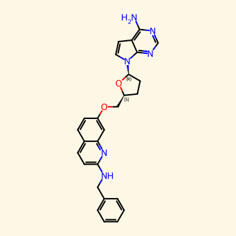 Nc1ncnc2c1ccn2[C@H]1CC[C@@H](COc2ccc3ccc(NCc4ccccc4)nc3c2)O1